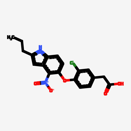 CCCc1cc2c([N+](=O)[O-])c(Oc3ccc(CC(=O)O)cc3Cl)ccc2[nH]1